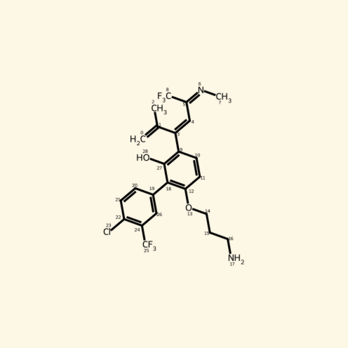 C=C(C)/C(=C\C(=N/C)C(F)(F)F)c1ccc(OCCCN)c(-c2ccc(Cl)c(C(F)(F)F)c2)c1O